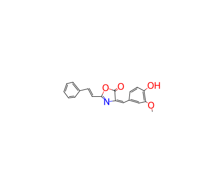 COc1cc(C=C2N=C(C=Cc3ccccc3)OC2=O)ccc1O